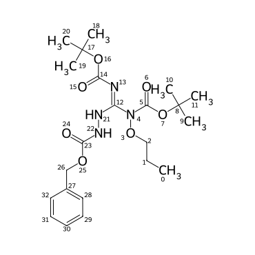 CCCON(C(=O)OC(C)(C)C)C(=NC(=O)OC(C)(C)C)NNC(=O)OCc1ccccc1